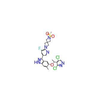 Cc1cc2[nH]nc(-c3cnc(N4CC5(C4)CN(S(C)(=O)=O)C5)c(F)c3)c2cc1OC(C)c1c(Cl)cnnc1Cl